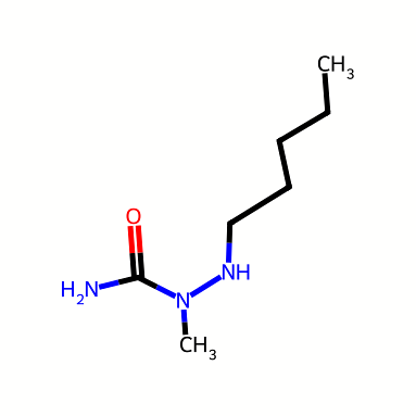 CCCCCNN(C)C(N)=O